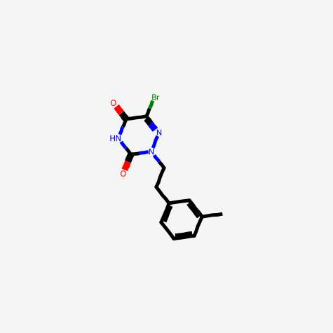 Cc1cccc(CCn2nc(Br)c(=O)[nH]c2=O)c1